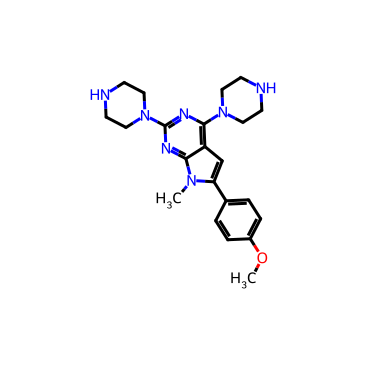 COc1ccc(-c2cc3c(N4CCNCC4)nc(N4CCNCC4)nc3n2C)cc1